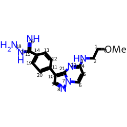 COCCNc1ccn2ncc(-c3ccc(C(=N)NN)cc3)c2n1